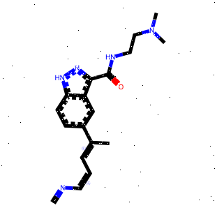 C=N/C=C\C=C(/C)c1ccc2[nH]nc(C(=O)NCCN(C)C)c2c1